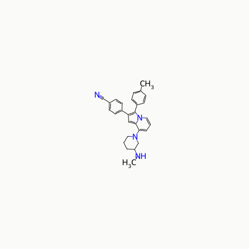 CNC1CCCN(c2cccn3c(-c4ccc(C)cc4)c(-c4ccc(C#N)cc4)cc23)C1